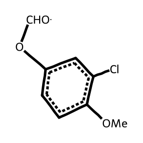 COc1ccc(O[C]=O)cc1Cl